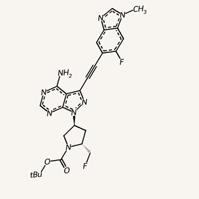 Cn1cnc2cc(C#Cc3nn([C@H]4C[C@H](CF)N(C(=O)OC(C)(C)C)C4)c4ncnc(N)c34)c(F)cc21